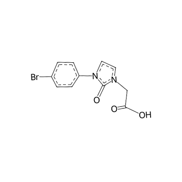 O=C(O)Cn1ccn(-c2ccc(Br)cc2)c1=O